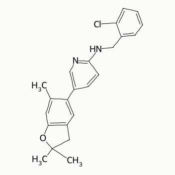 Cc1cc2c(cc1-c1ccc(NCc3ccccc3Cl)nc1)CC(C)(C)O2